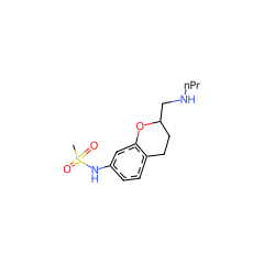 CCCNCC1CCc2ccc(NS(C)(=O)=O)cc2O1